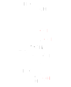 CC(C)=CCC[C@H](O)C1CC[C@]2(C)C1[C@H](O)CC1[C@@]3(C)CC[C@H](O)C(C)(C)C3CC[C@]12C